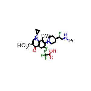 COc1c(N2CCC(=C(F)CNC(C)C)CC2)c(F)cc2c(=O)c(C(=O)O)cn(C3CC3)c12.O=C(O)C(F)(F)F